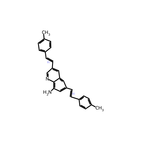 Cc1ccc(/C=C/c2cnc3c(N)cc(/C=C/c4ccc(C)cc4)cc3c2)cc1